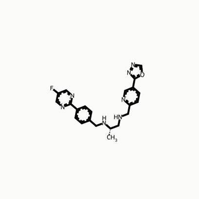 C[C@@H](CNCc1ccc(-c2nnco2)cn1)NCc1ccc(-c2ncc(F)cn2)cc1